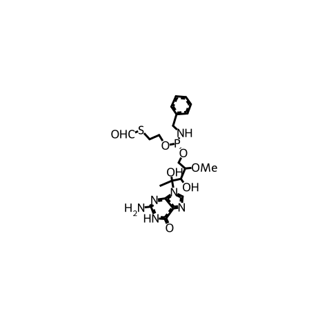 COC(COP(NCc1ccccc1)OCCSC=O)C(O)C(C)(O)n1cnc2c(=O)[nH]c(N)nc21